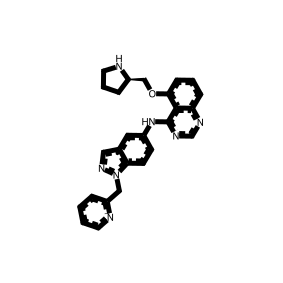 c1ccc(Cn2ncc3cc(Nc4ncnc5cccc(OC[C@H]6CCCN6)c45)ccc32)nc1